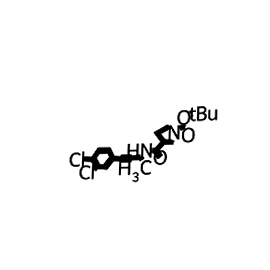 CC(C#Cc1ccc(Cl)c(Cl)c1)NC(=O)C1CCN(C(=O)OC(C)(C)C)C1